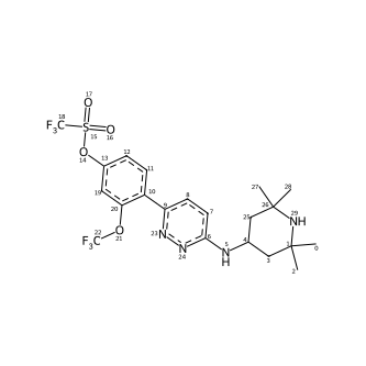 CC1(C)CC(Nc2ccc(-c3ccc(OS(=O)(=O)C(F)(F)F)cc3OC(F)(F)F)nn2)CC(C)(C)N1